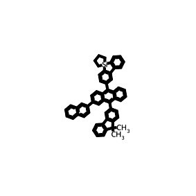 CC1(C)c2ccccc2-c2cc(-c3c4ccccc4c(-c4ccc5c(c4)-c4ccccc4[Si]54CCCC4)c4ccc(-c5ccc6ccccc6c5)cc34)ccc21